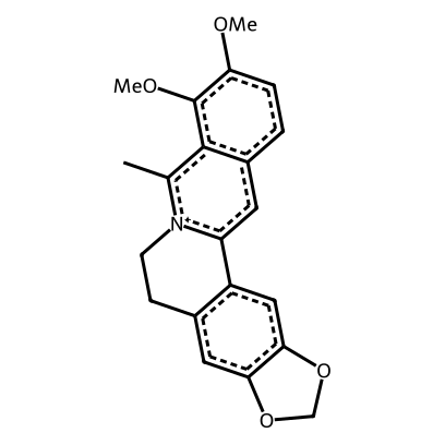 COc1ccc2cc3[n+](c(C)c2c1OC)CCc1cc2c(cc1-3)OCO2